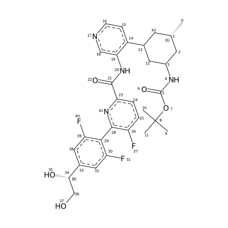 C[C@@H]1CC(NC(=O)OC(C)(C)C)CC(c2ccncc2NC(=O)c2ccc(F)c(-c3c(F)cc([C@@H](O)CO)cc3F)n2)C1